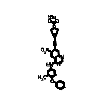 Cc1cc(Nc2ncnc3cc(C#CC4C5CN(C(=O)OC(C)(C)C)CC45)c([N+](=O)[O-])cc23)ccc1Oc1ccccc1